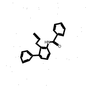 C=CCc1c(NC(=O)c2ccccc2)cccc1-c1ccccc1